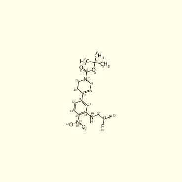 CC(C)(C)OC(=O)N1CC=C(c2ccc([N+](=O)[O-])c(NCC(F)F)c2)CC1